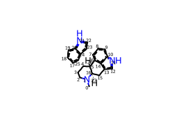 CN1CCC[C@@H]2c3cccc4[nH]cc(c34)C[C@H]21.c1ccc2[nH]ccc2c1